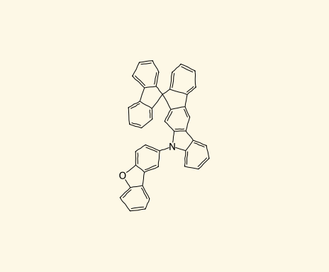 c1ccc2c(c1)-c1ccccc1C21c2ccccc2-c2cc3c4ccccc4n(-c4ccc5oc6ccccc6c5c4)c3cc21